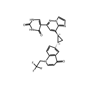 O=c1[nH]cc(-c2cc([C@H]3C[C@@H]3c3ccc4c(c3)c(=O)ccn4CC(F)(F)F)c3nccn3n2)c(=O)[nH]1